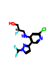 OC[C@@H](F)CNc1cc(Cl)ncc1-c1ccn(C(F)F)n1